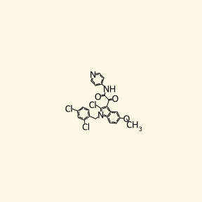 COc1ccc2c(c1)c(C(=O)C(=O)Nc1ccncc1)c(Cl)n2Cc1ccc(Cl)cc1Cl